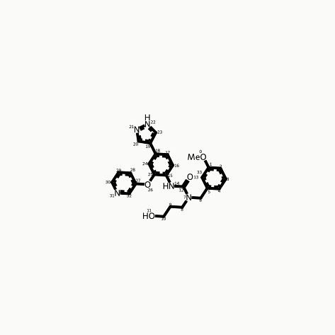 COc1cccc(CN(CCCO)C(=O)Nc2ccc(-c3cn[nH]c3)cc2Oc2cccnc2)c1